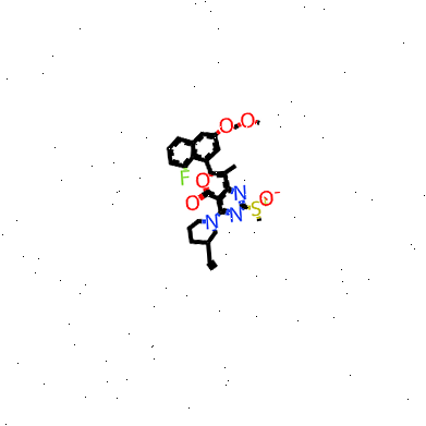 C#CC1CCCN(c2nc([S+](C)[O-])nc3c(C)c(-c4cc(OCOC)cc5cccc(F)c45)oc(=O)c23)C1